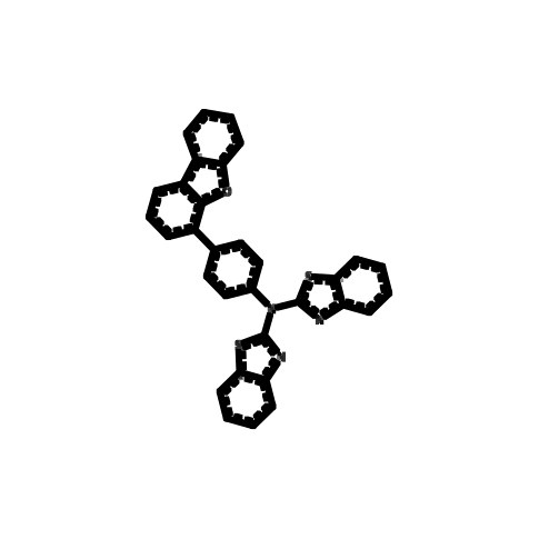 c1ccc2sc(N(c3ccc(-c4cccc5c4oc4ccccc45)cc3)c3nc4ccccc4s3)nc2c1